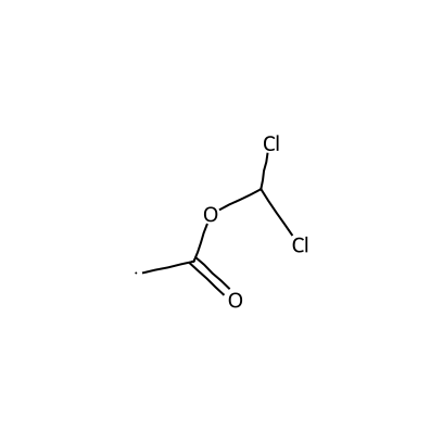 [CH2]C(=O)OC(Cl)Cl